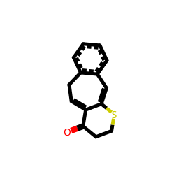 O=C1CCSC2=Cc3ccccc3CC=C12